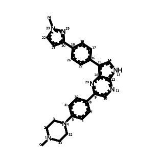 CN1CCN(c2ccc(-c3cnc4[nH]cc(-c5ccc(-c6ccn(C)n6)cc5)c4n3)cc2)CC1